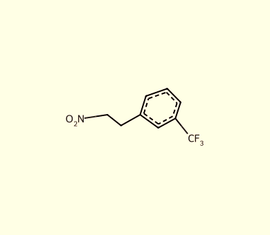 O=[N+]([O-])CCc1cccc(C(F)(F)F)c1